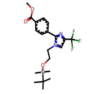 COC(=O)c1ccc(-c2nc(C(F)(F)F)cn2CCO[Si](C)(C)C(C)(C)C)cc1